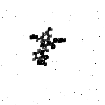 CC(C)(C)Cc1cc(F)cc2c1nc(Cn1cccc([N+](=O)[O-])c1=O)n2C(=O)OC(C)(C)C